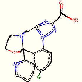 O=C(O)c1nc2n(n1)-c1ccc(Br)cc1C1(c3ccccn3)OCCN1C2